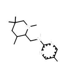 CC1CC(F)(F)CN(C)C1CNc1ncc(Cl)cn1